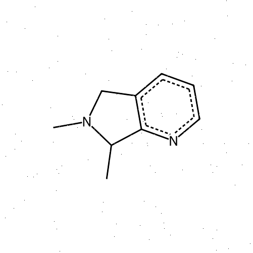 CC1c2ncccc2CN1C